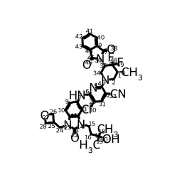 C[C@H]1CN(c2nc(Nc3ccc4c(c3)n(CCC(C)(C)O)c(=O)n4CC3COC3)c(Cl)cc2C#N)C[C@@H](N2C(=O)c3ccccc3C2=O)C1(F)F